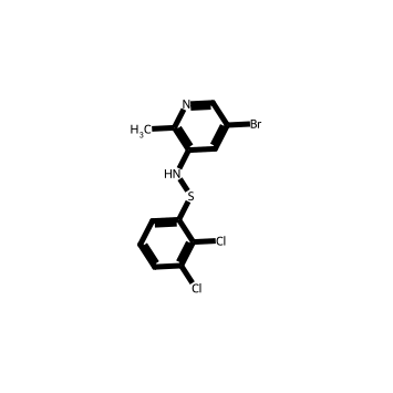 Cc1ncc(Br)cc1NSc1cccc(Cl)c1Cl